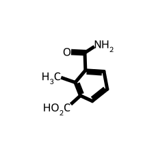 Cc1c(C(N)=O)cccc1C(=O)O